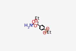 CCOC[C@H](OC(N)=O)c1ccc(S(=O)(=O)CC)cc1